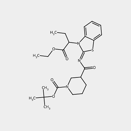 CCOC(=O)C(CC)n1c(=NC(=O)C2CCCN(C(=O)OC(C)(C)C)C2)sc2ccccc21